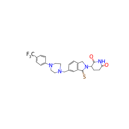 O=C1CCC(N2Cc3ccc(CN4CCN(c5ccc(C(F)(F)F)cc5)CC4)cc3C2=S)C(=O)N1